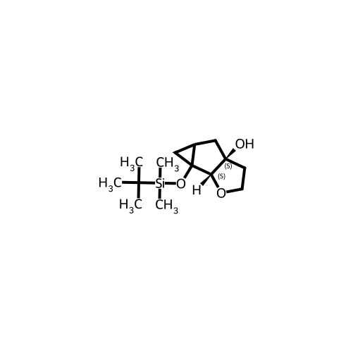 CC(C)(C)[Si](C)(C)OC12CC1C[C@]1(O)CCO[C@H]21